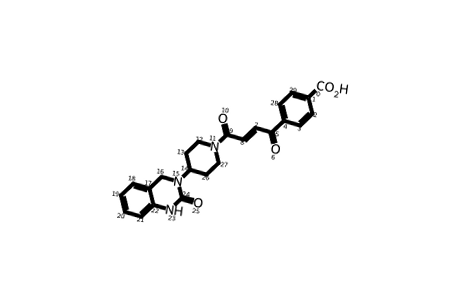 O=C(O)c1ccc(C(=O)C=CC(=O)N2CCC(N3Cc4ccccc4NC3=O)CC2)cc1